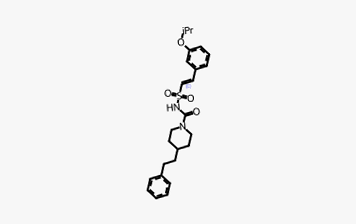 CC(C)Oc1cccc(/C=C/S(=O)(=O)NC(=O)N2CCC(CCc3ccccc3)CC2)c1